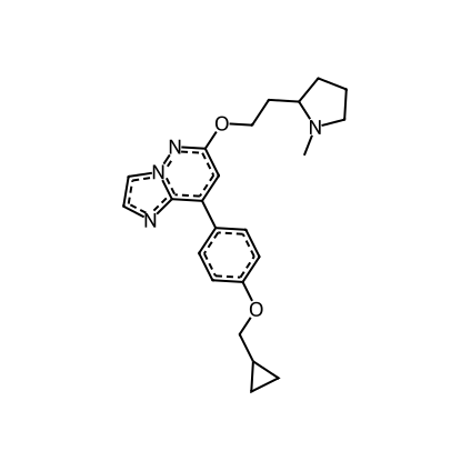 CN1CCCC1CCOc1cc(-c2ccc(OCC3CC3)cc2)c2nccn2n1